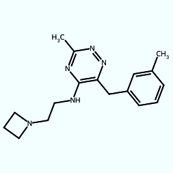 Cc1cccc(Cc2nnc(C)nc2NCCN2CCC2)c1